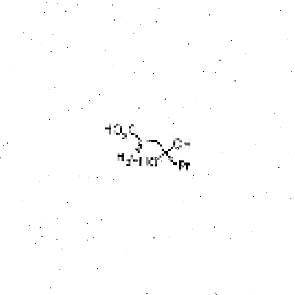 C=C(CC(O)(O)CCC)C(=O)O